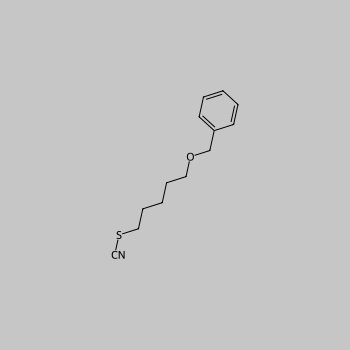 N#CSCCCCCOCc1ccccc1